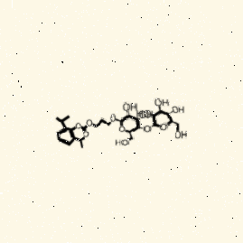 CC(C)c1cccc(C(C)C)c1OC(=O)OCCCO[C@@H]1O[C@H](CO)[C@@H](O[C@H]2O[C@H](CO)[C@@H](O)[C@H](O)[C@H]2O)[C@H](O)[C@H]1O